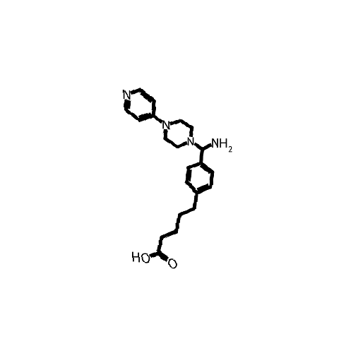 NC(c1ccc(CCCCC(=O)O)cc1)N1CCN(c2ccncc2)CC1